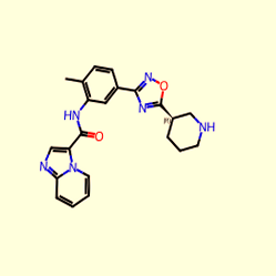 Cc1ccc(-c2noc([C@@H]3CCCNC3)n2)cc1NC(=O)c1cnc2ccccn12